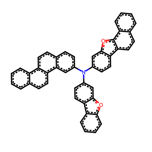 c1ccc2c(c1)ccc1c3cc(N(c4ccc5c(c4)oc4ccccc45)c4ccc5c(c4)oc4c6ccccc6ccc54)ccc3ccc21